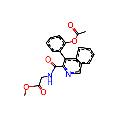 COC(=O)CNC(=O)c1ncc2ccccc2c1-c1ccccc1OC(C)=O